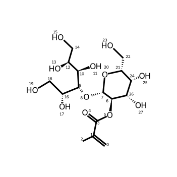 C=C(C)C(=O)O[C@H]1[C@H](O[C@@H]([C@H](O)[C@@H](O)CO)[C@H](O)CO)O[C@H](CO)[C@H](O)[C@@H]1O